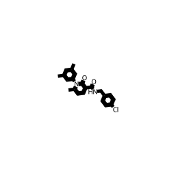 Cc1cc(C)cc(-n2c(C)ccc(C(=O)NCc3ccc(Cl)cc3)c2=O)c1